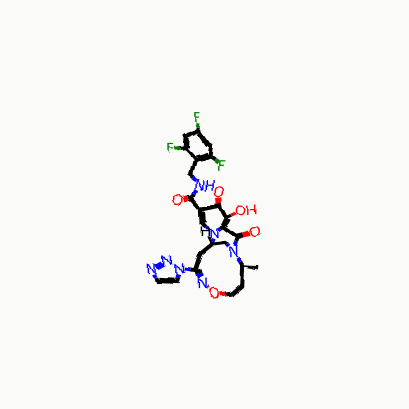 C[C@H]1CCO/N=C(/n2ccnn2)C[C@H]2CN1C(=O)c1c(O)c(=O)c(C(=O)NCc3c(F)cc(F)cc3F)cn12